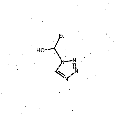 CCC(O)n1[c]nnn1